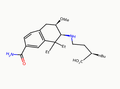 CCCC[C@H](CCN[C@@H]1[C@H](OC)Cc2ccc(C(N)=O)cc2C1(CC)CC)C(=O)O